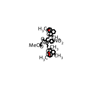 COC(=O)CNC(=O)C(CC[C@H]1O[C@@H]2O[C@]3(C)CCC4CCCC([C@H]1C)[C@]42OO3)N(CCC[C@H]1O[C@@H]2O[C@]3(C)CCC4[C@H](C)CCC([C@H]1C)[C@]42OO3)c1ccc([N+](=O)[O-])cc1